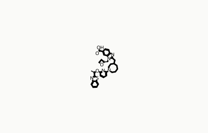 C[C@@H](Oc1cccc(N2CCCCC(Cc3nc4ccc(C(=O)O)cc4n3C[C@@H]3CCO3)CC2)n1)c1nc2ccccc2s1